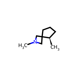 C[C@@H]1CCCC12CN(C)C2